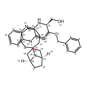 O=C(OCc1ccccc1)[C@H](CO)Nc1nc2ccccc2n([C@@H]2C[C@H]3CC[C@@H](C2)N3C2CCCCCCC2)c1=O